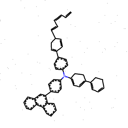 C=C/C=C\C=C\C1C=CC(c2ccc(N(C3=CC=C(C4=CC=CCC4)CC3)c3ccc(-c4cc5ccccc5c5ccccc45)cc3)cc2)=CC1